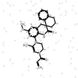 C=CC(=O)N1C=C(C)N(c2nc(OC)nc3c2NC(=O)C2(CCCc4ccccc42)C3)CC1